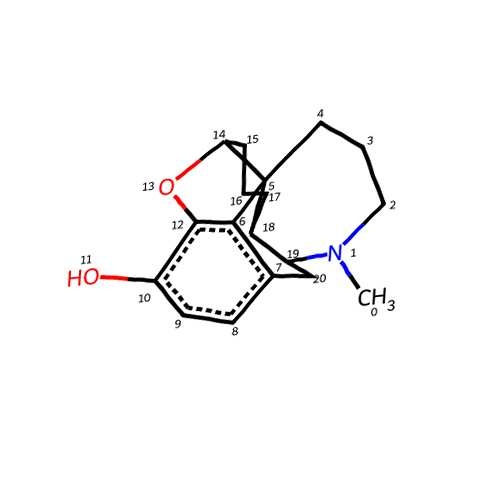 CN1CCCC23c4c5ccc(O)c4OC2CCCC3C1C5